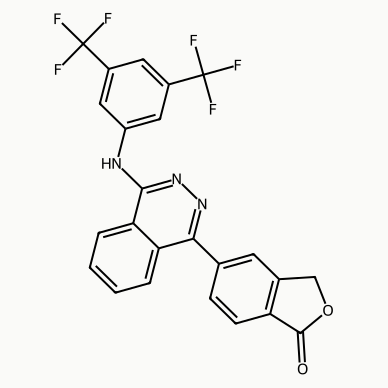 O=C1OCc2cc(-c3nnc(Nc4cc(C(F)(F)F)cc(C(F)(F)F)c4)c4ccccc34)ccc21